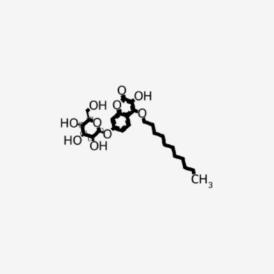 CCCCCCCCCCCOc1c(O)c(=O)oc2cc(O[C@@H]3O[C@H](CO)[C@@H](O)[C@H](O)[C@@H]3O)ccc12